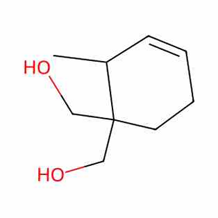 CC1C=CCCC1(CO)CO